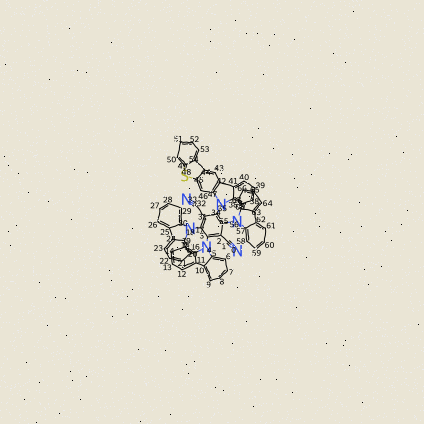 N#Cc1c(-n2c3ccccc3c3ccccc32)c(-n2c3ccccc3c3ccccc32)c(C#N)c(-n2c3ccccc3c3cc4c(cc32)sc2ccccc24)c1-n1c2ccccc2c2ccccc21